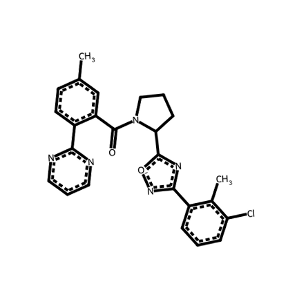 Cc1ccc(-c2ncccn2)c(C(=O)N2CCCC2c2nc(-c3cccc(Cl)c3C)no2)c1